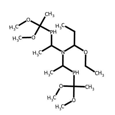 CCOC(CC)N(C(C)PC(C)(OC)OC)C(C)PC(C)(OC)OC